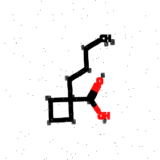 CCCCC1(C(=O)O)CCC1